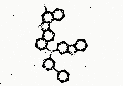 Clc1cc2oc3c4cccc(N(c5cccc(-c6ccccc6)c5)c5ccc6c(c5)oc5ccccc56)c4ccc3c2c2ccccc12